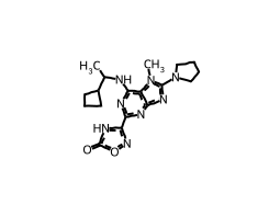 CC(Nc1nc(-c2noc(=O)[nH]2)nc2nc(N3CCCC3)n(C)c12)C1CCC1